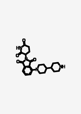 O=C1CCC(N2C(=O)c3cccc(N4CCC(C5CCNCC5)CC4)c3C2=O)C(=O)N1